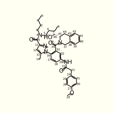 CCCCN(CCCC)C(=O)c1cc(C)n(-c2ccc(NC(=O)Cc3ccc(OC)cc3)cc2C(=O)N2Cc3ccccc3C[C@H]2CO)n1